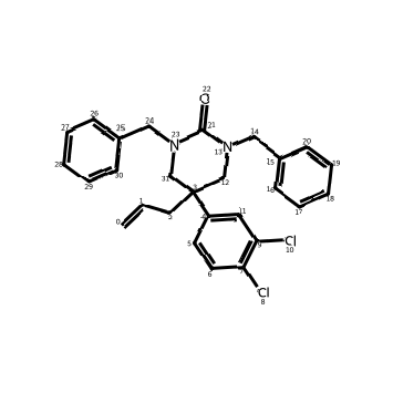 C=CCC1(c2ccc(Cl)c(Cl)c2)CN(Cc2ccccc2)C(=O)N(Cc2ccccc2)C1